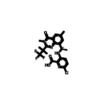 Cc1cc([C@@H](C)Nc2ccc(Cl)nc2C(=O)O)c2nc(C(C)(C)C(F)(F)F)n(C)c(=O)c2c1